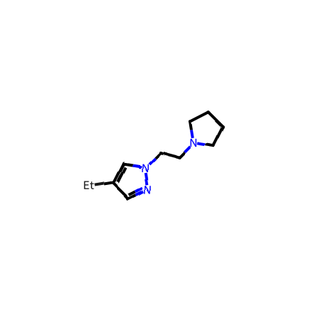 CCc1cnn(CCN2CCCC2)c1